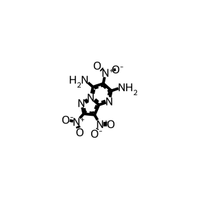 Nc1nc2c([N+](=O)[O-])c([N+](=O)[O-])nn2c(N)c1[N+](=O)[O-]